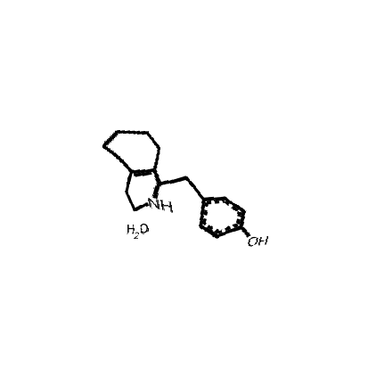 O.Oc1ccc(CC2NCCC3=C2CCCC3)cc1